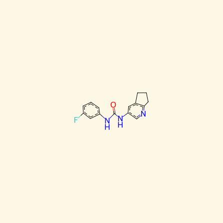 O=C(Nc1cccc(F)c1)Nc1cnc2c(c1)CCC2